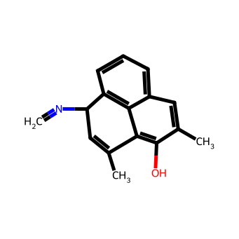 C=NC1C=C(C)c2c(O)c(C)cc3cccc1c23